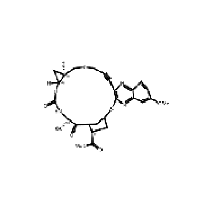 COC(=O)[C@@H]1CC2CC1C(=O)[C@H](C(C)(C)C)NC(=O)O[C@@H]1C[C@H]1CCCC#Cc1nc3ccc(OC)cc3nc1O2